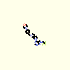 FC(F)(F)Cn1cc2c(N3CCC4(CCN(Cc5ccc(N6CCOCC6)cc5)C4)C3)ncnc2n1